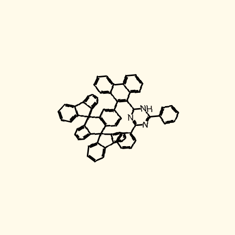 c1ccc(C2=NC(c3c(-c4ccc5c(c4)C4(c6ccccc6-c6ccccc64)c4ccccc4C54c5ccccc5-c5ccccc54)c4ccccc4c4ccccc34)NC(c3ccccc3)=N2)cc1